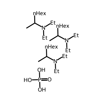 CCCCCCC(C)N(CC)CC.CCCCCCC(C)N(CC)CC.CCCCCCC(C)N(CC)CC.O=P(O)(O)O